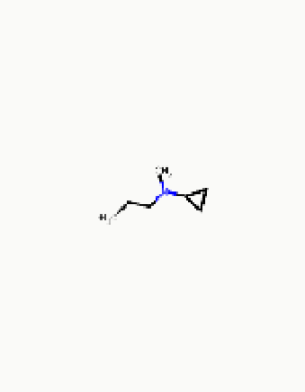 [CH2]CCN(C)C1CC1